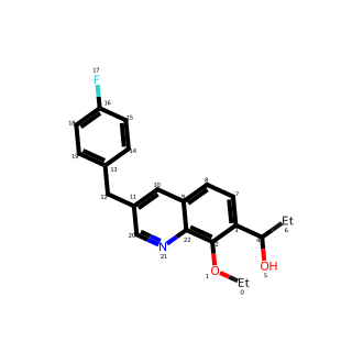 CCOc1c(C(O)CC)ccc2cc(Cc3ccc(F)cc3)cnc12